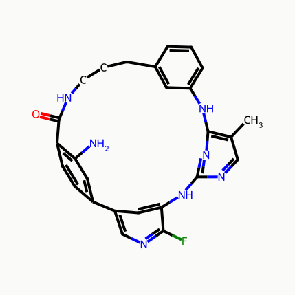 Cc1cnc2nc1Nc1cccc(c1)CCCNC(=O)c1ccc(cc1N)-c1cnc(F)c(c1)N2